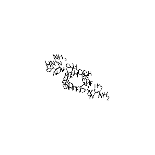 Nc1nc2c(ncn2[C@@H]2O[C@@H]3COP(O)(=S)O[C@H]4[C@@H](F)[C@H](n5cnc6c(N)ccnc65)O[C@@H]4COP(O)(=S)O[C@@H]2[C@@H]3F)c(=O)[nH]1